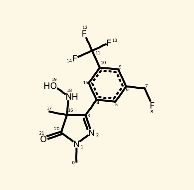 CN1N=C(c2cc(CF)cc(C(F)(F)F)c2)C(C)(NO)C1=O